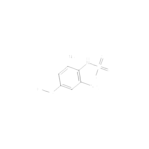 CCOc1ccc(NS(=O)(=O)[O-])c([N+](=O)[O-])c1.[Na+]